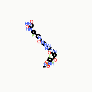 CCN(C)S(=O)(=O)Nc1ccc(F)c(C(=O)c2ccc3ncn(-c4cnc(N5CCN(C(=O)CN6CCC(c7ccc(N[C@@H]8CCC(=O)NC8=O)cc7F)CC6)CC5)nc4)c(=O)c3c2)c1F